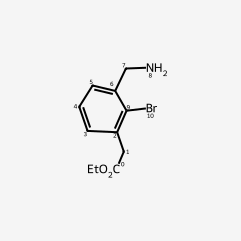 CCOC(=O)Cc1cccc(CN)c1Br